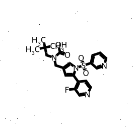 CC(C)(C)CN(Cc1cc(-c2ccncc2F)n(S(=O)(=O)c2cccnc2)c1)C(=O)O